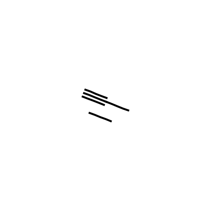 C#CC.CC